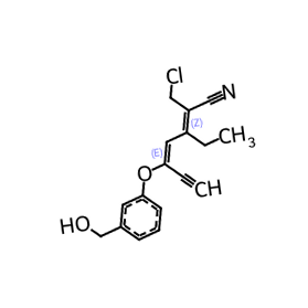 C#C/C(=C\C(CC)=C(\C#N)CCl)Oc1cccc(CO)c1